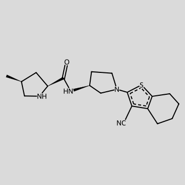 C[C@@H]1CN[C@H](C(=O)N[C@H]2CCN(c3sc4c(c3C#N)CCCC4)C2)C1